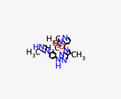 Cc1cn(Cc2cccnc2N(C)S(C)(=O)=O)c2nc(Nc3ccc(N4CCNC(C)C4)cc3)ncc12